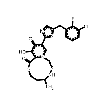 CC1CCOC(=O)c2c(O)c(=O)c(-c3ncc(Cc4cccc(Cl)c4F)s3)cn2CSN1